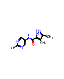 Cc1n[nH]c(C(=O)Nc2cnc(Cl)nc2)c1C